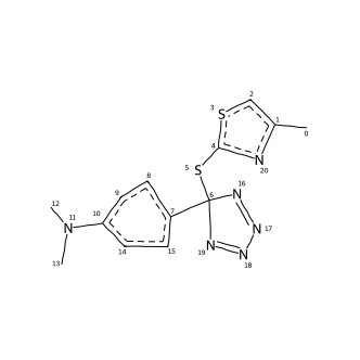 Cc1csc(SC2(c3ccc(N(C)C)cc3)N=NN=N2)n1